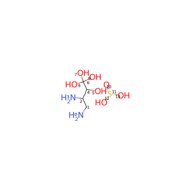 NCC(N)C(O)C(O)(O)O.O=S(O)O